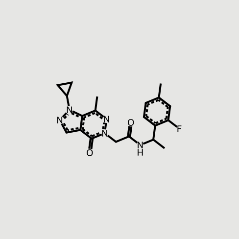 Cc1ccc(C(C)NC(=O)Cn2nc(C)c3c(cnn3C3CC3)c2=O)c(F)c1